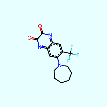 O=C1N=c2cc(C(F)(F)F)c(N3CCCCCC3)cc2=[N+]C1=O